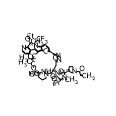 C=CC(=O)N1CC[C@H](C(=O)N(C)[C@H](C(=O)N[C@H]2Cc3nnc(o3)-c3ccc4c(c3)c(c(-c3cccnc3[C@H](C)OCC)n4CC(F)(F)F)CC(C)(C)COC(=O)[C@@]3(O)CCCN(N3)C2=O)C(C)C)C1